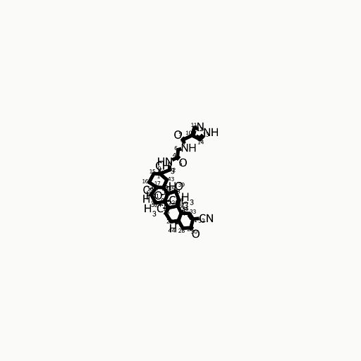 C[C@]1(CNC(=O)CNC(=O)c2cn[nH]c2)CC[C@]2(C)CC[C@@]3(C)[C@]4(C)CC[C@H]5CC(=O)C(C#N)=C[C@]5(C)C4=CC(=O)[C@]3(O)[C@@H]2C1